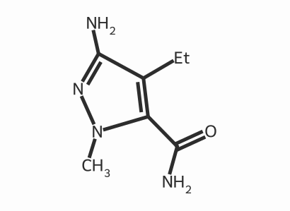 CCc1c(N)nn(C)c1C(N)=O